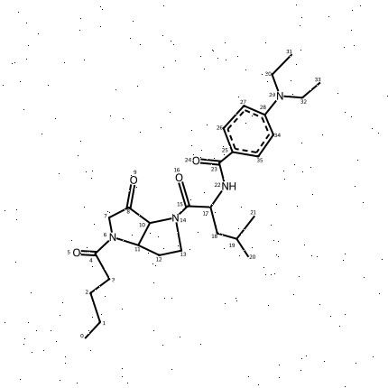 CCCCC(=O)N1CC(=O)C2C1CCN2C(=O)C(CC(C)C)NC(=O)c1ccc(N(CC)CC)cc1